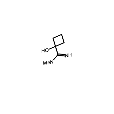 CNC(=N)C1(O)CCC1